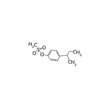 CCC(C)c1ccc(OS(C)(=O)=O)cc1